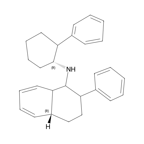 C1=CC2C(N[C@@H]3CCCCC3c3ccccc3)C(c3ccccc3)CC[C@@H]2C=C1